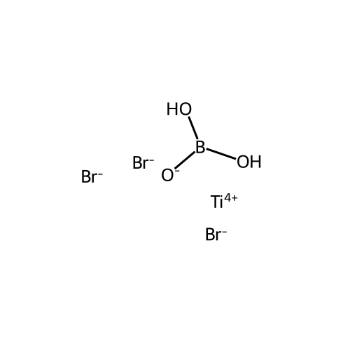 [Br-].[Br-].[Br-].[O-]B(O)O.[Ti+4]